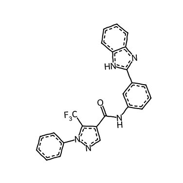 O=C(Nc1cccc(-c2nc3ccccc3[nH]2)c1)c1cnn(-c2ccccc2)c1C(F)(F)F